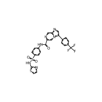 O=C(Nc1ccc(S(=O)(=O)Nc2nccs2)cc1)c1cn2c(-c3ccc(C(F)(F)F)cc3)cnc2cn1